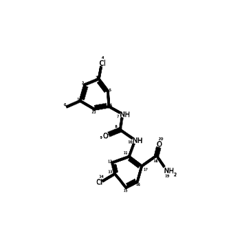 Cc1cc(Cl)cc(NC(=O)Nc2cc(Cl)ccc2C(N)=O)c1